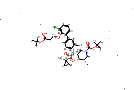 CC(C)(C)OC(=O)CCOc1c(F)cccc1-c1cccc(C[C@H]2[C@@H](NS(=O)(=O)C3(F)CC3)CCCN2C(=O)OC(C)(C)C)c1